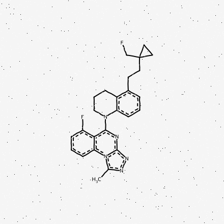 Cc1nnc2nc(N3CCCc4c(CCC5(CF)CC5)cccc43)c3c(F)cccc3n12